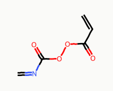 C=CC(=O)OOC(=O)N=C